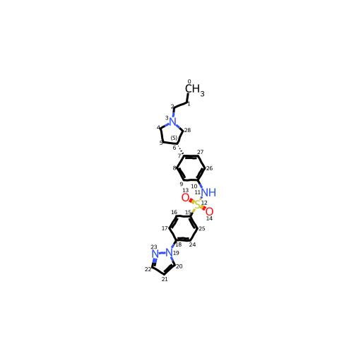 CCCN1CC[C@@H](c2ccc(NS(=O)(=O)c3ccc(-n4cccn4)cc3)cc2)C1